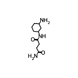 NC(=O)CCC(=O)NC1CCCC(N)C1